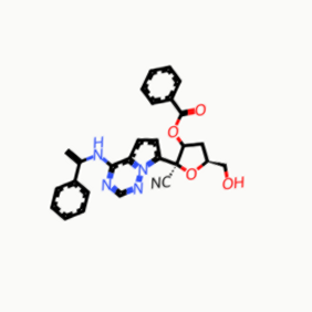 C=C(Nc1ncnn2c([C@]3(C#N)O[C@H](CO)CC3OC(=O)c3ccccc3)ccc12)c1ccccc1